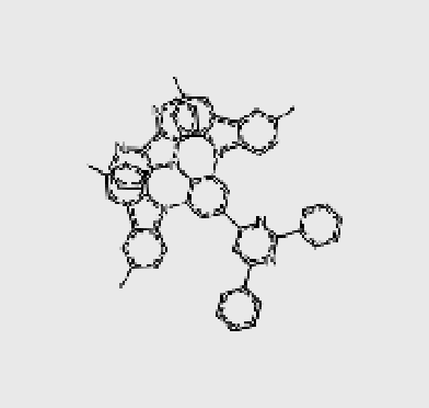 Cc1ccc2c(c1)c1cc(C)ccc1n2-c1cc(-c2cc(-c3ccccc3)nc(-c3ccccc3)n2)cc(-n2c3ccc(C)cc3c3cc(C)ccc32)c1-n1c2cccnc2c2ncccc21